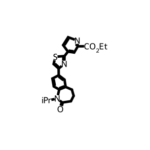 CCOC(=O)c1cc(-c2nc(-c3ccc4c(c3)CCCC(=O)N4C(C)C)cs2)ccn1